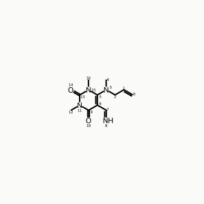 C=CCN(C)c1c(C=N)c(=O)n(C)c(=O)n1C